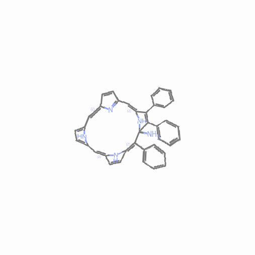 NC12N/C(=C\C3=NC(=C\c4ccc([nH]4)/C=c4/cc/c([nH]4)=C/1c1ccccc1)/C=C3)C(c1ccccc1)=C2c1ccccc1